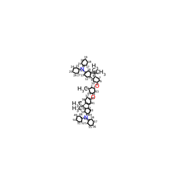 Cc1cc(Oc2ccc3c(c2)-c2ccc(N(c4ccccc4)c4ccccc4)cc2C3(C)C)cc(Oc2ccc3c(c2)-c2ccc(N(c4ccccc4)c4ccccc4)cc2C3(C)C)c1